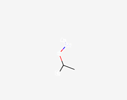 CCC(C)ONC(C)=O